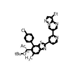 CCc1cnn2cc(-c3cc(-c4nc5cc(C)c([C@H](OC(C)(C)C)C(C)=O)c(-c6ccc(Cl)cc6)c5s4)ccn3)cnc12